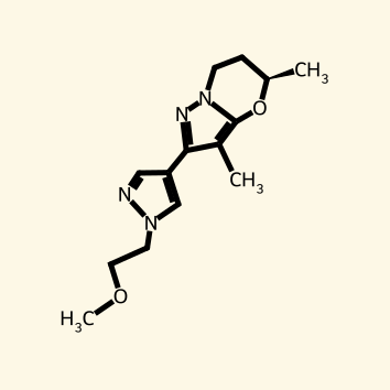 COCCn1cc(-c2nn3c(c2C)O[C@H](C)CC3)cn1